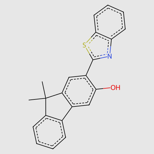 CC1(C)c2ccccc2-c2cc(O)c(-c3nc4ccccc4s3)cc21